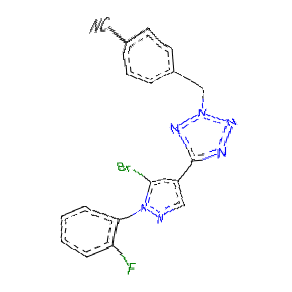 N#Cc1ccc(Cn2nnc(-c3cnn(-c4ccccc4F)c3Br)n2)cc1